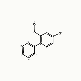 [O]Cc1cc(Cl)ccc1-c1ccccc1